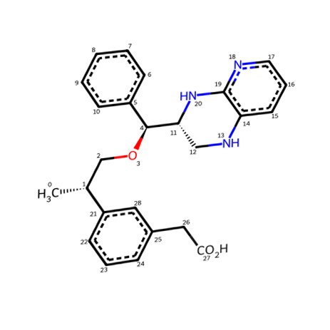 C[C@H](CO[C@@H](c1ccccc1)[C@H]1CNc2cccnc2N1)c1cccc(CC(=O)O)c1